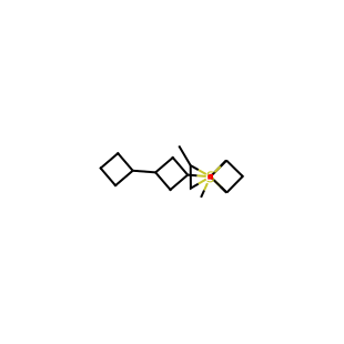 CC1CS12(C)(C1CC(C3CCC3)C1)C1CC2C1